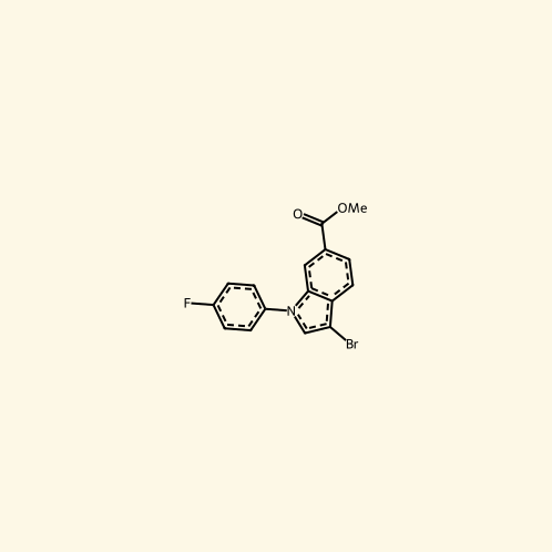 COC(=O)c1ccc2c(Br)cn(-c3ccc(F)cc3)c2c1